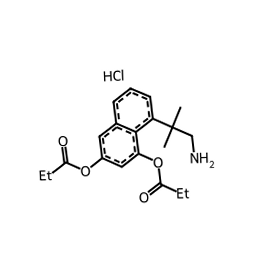 CCC(=O)Oc1cc(OC(=O)CC)c2c(C(C)(C)CN)cccc2c1.Cl